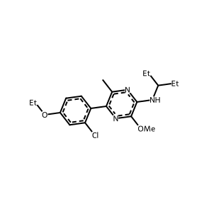 CCOc1ccc(-c2nc(OC)c(NC(CC)CC)nc2C)c(Cl)c1